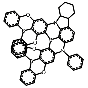 c1ccc(N2c3cc4c5c(c3B3c6c(cc7c8c6Oc6ccccc6B8c6ccccc6O7)N6c7c(ccc2c73)C2CCCCC26)Oc2ccccc2B5c2ccccc2O4)cc1